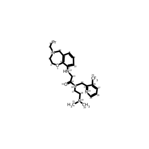 CC(C)CN1CCOc2c(cccc2NCC(=O)N(CCN(C)C)Cc2ncccc2C(F)(F)F)C1